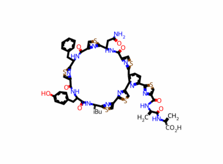 C=C(NC(=O)C(=C)NC(=O)c1csc(-c2ccc3c(n2)-c2csc(n2)-c2csc(n2)C(C(C)CC)NC(=O)C(Cc2ccc(O)cc2)NC(=O)c2csc(n2)C(Cc2ccccc2)NC(=O)c2csc(n2)C(CC(N)=O)NC(=O)c2csc-3n2)n1)C(=O)O